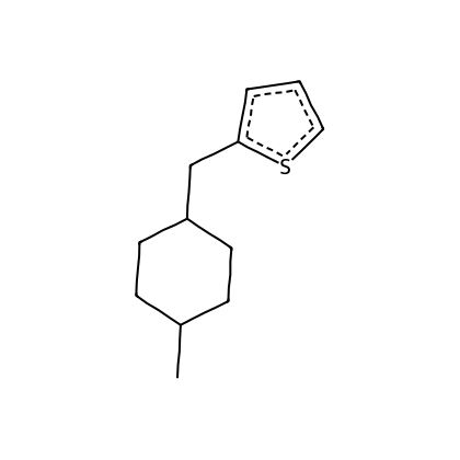 CC1CCC(Cc2cccs2)CC1